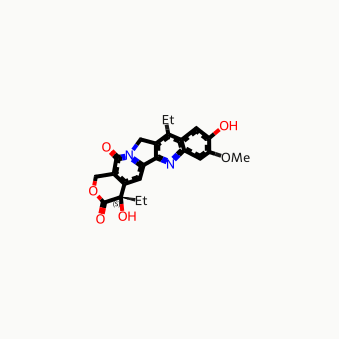 CCc1c2c(nc3cc(OC)c(O)cc13)-c1cc3c(c(=O)n1C2)COC(=O)[C@]3(O)CC